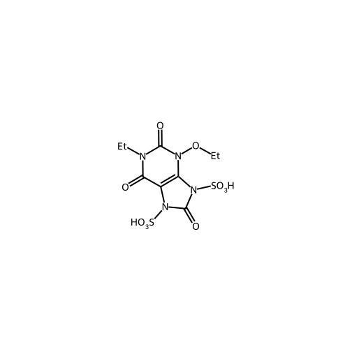 CCOn1c(=O)n(CC)c(=O)c2c1n(S(=O)(=O)O)c(=O)n2S(=O)(=O)O